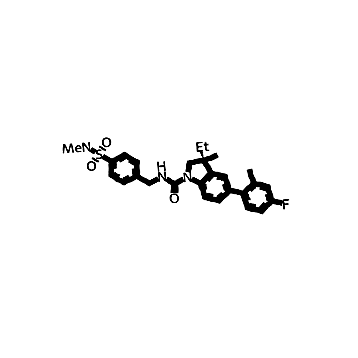 CC[C@@]1(C)CN(C(=O)NCc2ccc(S(=O)(=O)NC)cc2)c2ccc(-c3ccc(F)cc3C)cc21